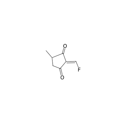 CC1CC(=O)C(=CF)C1=O